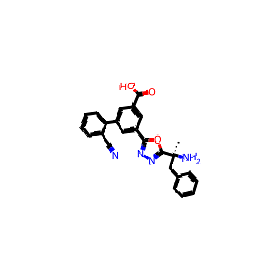 C[C@](N)(Cc1ccccc1)c1nnc(-c2cc(C(=O)O)cc(-c3ccccc3C#N)c2)o1